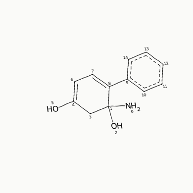 NC1(O)CC(O)=CC=C1c1ccccc1